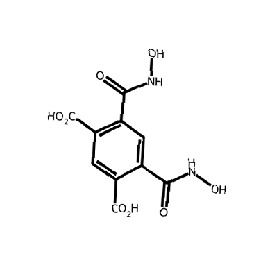 O=C(O)c1cc(C(=O)O)c(C(=O)NO)cc1C(=O)NO